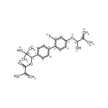 C=C(C)C(=O)OC(c1ccc(-c2ccc(OC(O)C(=C)C)cc2F)cc1)C(C)(C)O